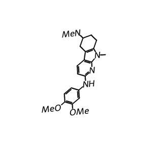 CNC1CCc2c(c3ccc(Nc4ccc(OC)c(OC)c4)nc3n2C)C1